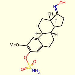 COc1cc2c(cc1OS(N)(=O)=O)CC[C@@H]1[C@@H]2CC[C@]2(C)C(=NO)CC[C@@H]12